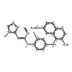 C=N/C(=C\c1nncn1C)Oc1ccc(Nc2c(C#N)cnc3ccc(NC(C)=O)cc23)cc1C